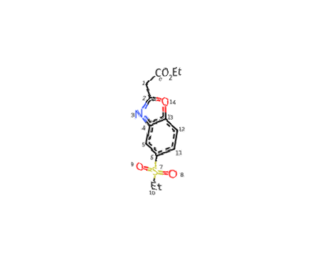 CCOC(=O)Cc1nc2cc(S(=O)(=O)CC)ccc2o1